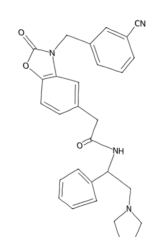 N#Cc1cccc(Cn2c(=O)oc3ccc(CC(=O)NC(CN4CCCC4)c4ccccc4)cc32)c1